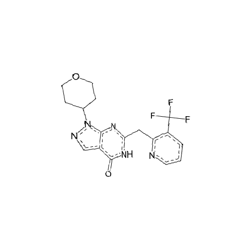 O=c1[nH]c(Cc2ncccc2C(F)(F)F)nc2c1cnn2C1CCOCC1